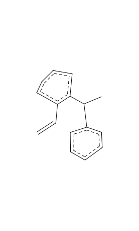 C=Cc1ccccc1C(C)c1ccccc1